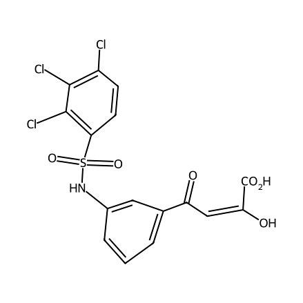 O=C(O)/C(O)=C\C(=O)c1cccc(NS(=O)(=O)c2ccc(Cl)c(Cl)c2Cl)c1